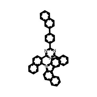 c1ccc(-c2nc(-c3ccc(-c4ccc5ccccc5c4)cc3)nc(-c3ccc4ccccc4c3-n3c4ccccc4c4c5ccccc5ccc43)n2)cc1